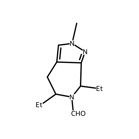 CCC1Cc2cn(C)nc2C(CC)N1C=O